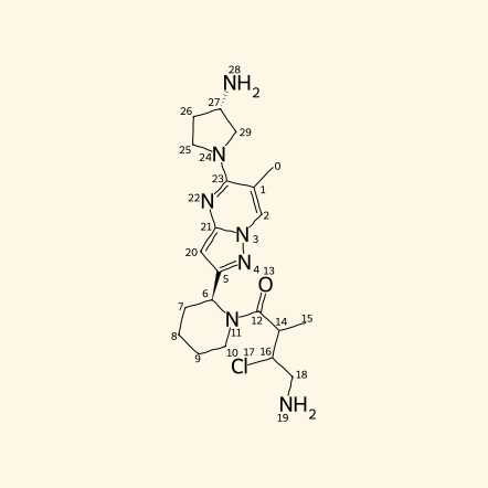 Cc1cn2nc([C@@H]3CCCCN3C(=O)C(C)C(Cl)CN)cc2nc1N1CC[C@H](N)C1